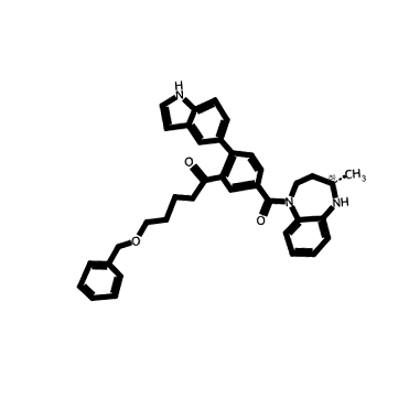 C[C@H]1CCN(C(=O)c2ccc(-c3ccc4[nH]ccc4c3)c(C(=O)CCCCOCc3ccccc3)c2)c2ccccc2N1